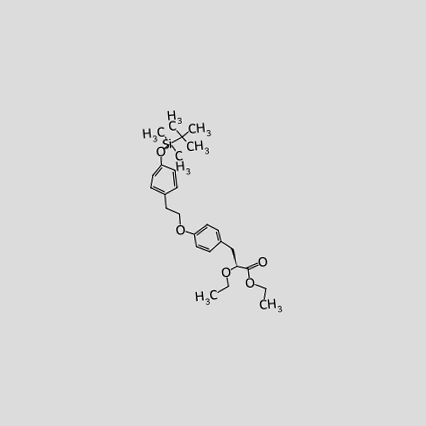 CCOC(=O)[C@H](Cc1ccc(OCCc2ccc(O[Si](C)(C)C(C)(C)C)cc2)cc1)OCC